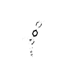 C=C1O[C@@H](CN=[N+]=[N-])CN1c1ccc(N2CCNCC2)cc1